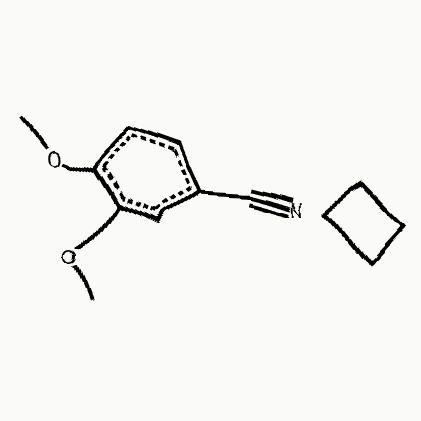 C1CCC1.COc1ccc(C#N)cc1OC